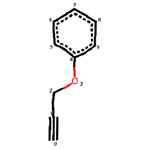 [C]#CCOc1ccccc1